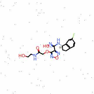 O=C(COc1nonc1/C(=N\O)N[C@H]1CCc2ccc(F)cc21)NCCO